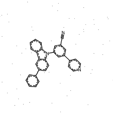 N#Cc1cc(-c2ccncc2)cc(-n2c3ccccc3c3cc(-c4ccccc4)ccc32)c1